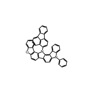 c1ccc(-n2c3ccccc3c3c2ccc2c4ccc5oc6ccccc6c5c4n(-c4ccc5c6c(cccc46)-c4ccccc4-5)c23)cc1